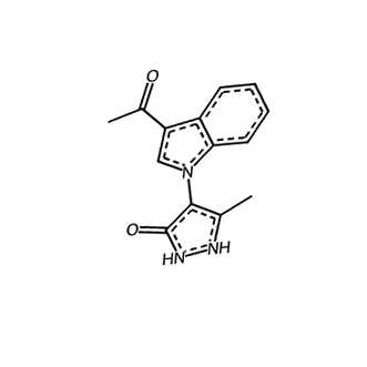 CC(=O)c1cn(-c2c(C)[nH][nH]c2=O)c2ccccc12